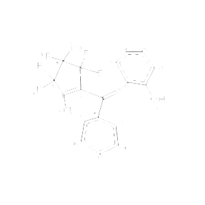 C=C(C1=C(Cl)C(F)(F)C(F)(F)C1(F)F)c1ccccc1.Oc1ccccc1